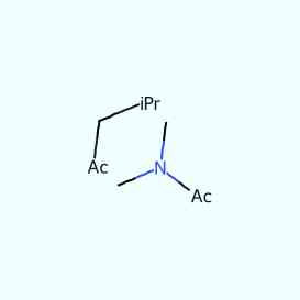 CC(=O)CC(C)C.CC(=O)N(C)C